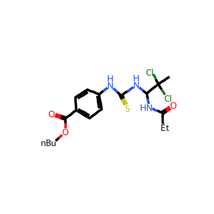 CCCCOC(=O)c1ccc(NC(=S)NC(NC(=O)CC)C(C)(Cl)Cl)cc1